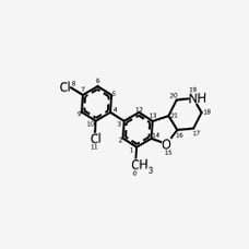 Cc1cc(-c2ccc(Cl)cc2Cl)cc2c1OC1CCNCC21